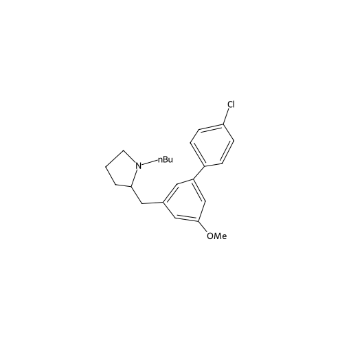 CCCCN1CCCC1Cc1cc(OC)cc(-c2ccc(Cl)cc2)c1